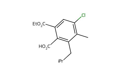 CCOC(=O)c1cc(Cl)c(C)c(CC(C)C)c1C(=O)O